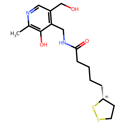 Cc1ncc(CO)c(CNC(=O)CCCC[C@@H]2CCSS2)c1O